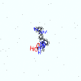 C1CC1.O=C(O)Nc1nc2cccc(-c3ccc(CNc4cccnc4)cc3)n2n1